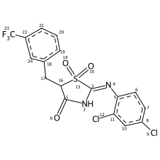 O=C1NC(=Nc2ccc(Cl)cc2Cl)S(=O)(=O)C1Cc1cccc(C(F)(F)F)c1